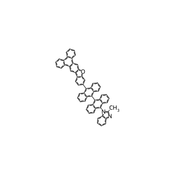 Cc1nc2ccccc2n1-c1c2ccccc2c(-c2c3ccccc3c(-c3ccc4c(c3)oc3cc5c6ccccc6c6ccccc6c5cc34)c3ccccc23)c2ccccc12